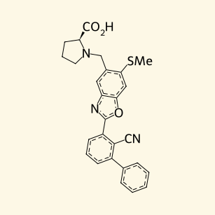 CSc1cc2oc(-c3cccc(-c4ccccc4)c3C#N)nc2cc1CN1CCC[C@H]1C(=O)O